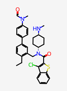 CCc1ccc(-c2ccc(N(C)C=O)cc2)cc1CN(C(=O)c1sc2ccccc2c1Cl)[C@H]1CC[C@H](NC)CC1